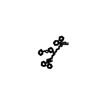 CC(C)(C)[Si](OCCCCN(CCCCO[Si](c1ccccc1)(c1ccccc1)C(C)(C)C)c1cccc(OCc2ccccc2)c1)(c1ccccc1)c1ccccc1